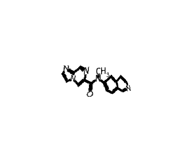 CN(C(=O)c1cn2ccnc2cn1)c1ccc2cnccc2c1